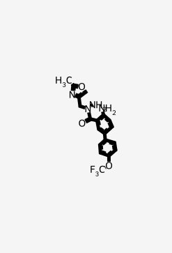 Cc1nc(CN(N)C(=O)c2cc(-c3ccc(OC(F)(F)F)cc3)ccc2N)co1